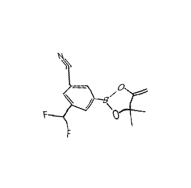 C=C1OB(c2cc(C#N)cc(C(F)F)c2)OC1(C)C